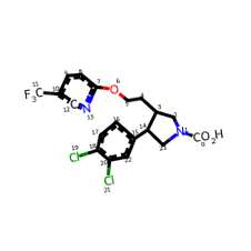 O=C(O)N1CC(CCOc2ccc(C(F)(F)F)cn2)C(c2ccc(Cl)c(Cl)c2)C1